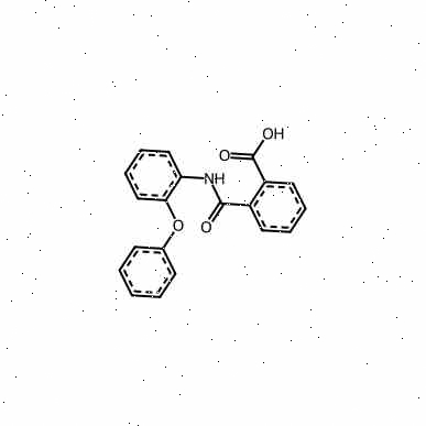 O=C(O)c1ccccc1C(=O)Nc1ccccc1Oc1ccccc1